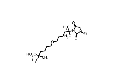 CCN1CC(=O)N(C(C)(C)CCCCOCCCCC(C)(C)C(=O)O)C1=O